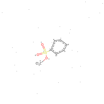 O=S(=O)(OC(Cl)(Cl)Cl)c1ccccc1